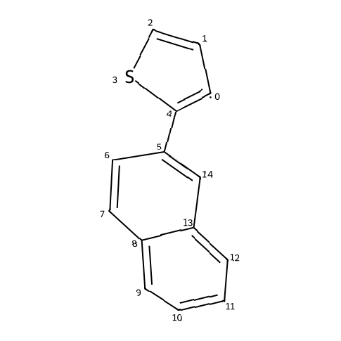 [c]1ccsc1-c1ccc2ccccc2c1